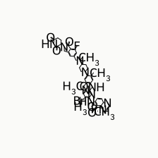 COc1cc(N2CCC(N(C)Cc3cc(F)c4c(c3)CN(C3CCC(=O)NC3=O)C4=O)CC2)c(C)cc1Nc1ncc(Br)c(Nc2ccc3nccnc3c2P(C)(C)=O)n1